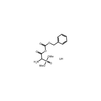 COP(=O)(OC)C(N)C(=O)OC(=O)OCc1ccccc1.[LiH]